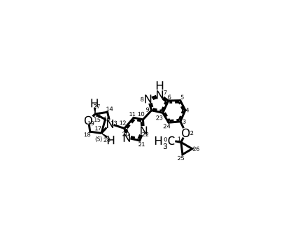 CC1(Oc2ccc3[nH]nc(-c4cc(N5C[C@@H]6C[C@H]5CO6)ncn4)c3c2)CC1